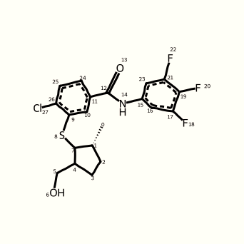 C[C@@H]1CCC(CO)C1Sc1cc(C(=O)Nc2cc(F)c(F)c(F)c2)ccc1Cl